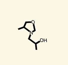 CC(O)CN1COCC1C